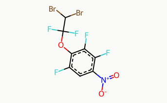 O=[N+]([O-])c1cc(F)c(OC(F)(F)C(Br)Br)c(F)c1F